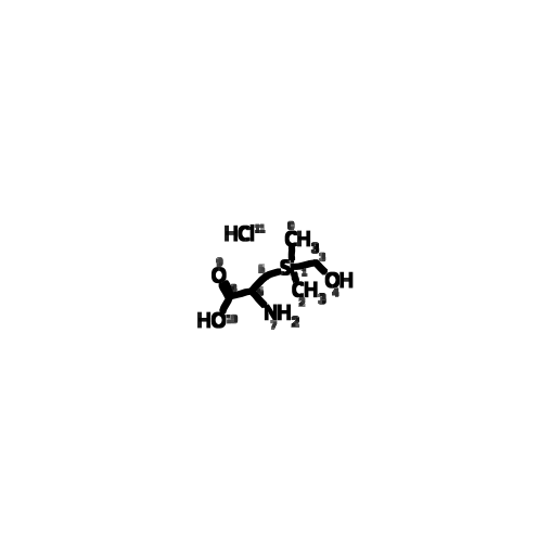 C[Si](C)(CO)CC(N)C(=O)O.Cl